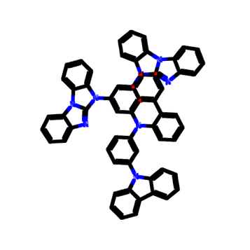 c1ccc(-c2ccccc2N(c2cccc(-n3c4ccccc4c4ccccc43)c2)c2cc(-n3c4ccccc4n4c5ccccc5nc34)cc(-n3c4ccccc4n4c5ccccc5nc34)c2)cc1